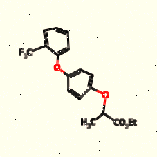 CCOC(=O)C(C)Oc1ccc(Oc2ccccc2C(F)(F)F)cc1